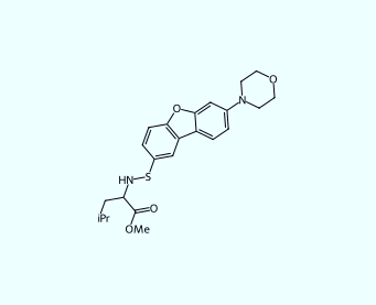 COC(=O)C(CC(C)C)NSc1ccc2oc3cc(N4CCOCC4)ccc3c2c1